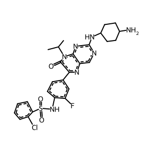 CC(C)n1c(=O)c(-c2ccc(NS(=O)(=O)c3ccccc3Cl)c(F)c2)nc2cnc(NC3CCC(N)CC3)nc21